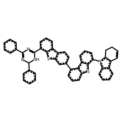 C1=Cc2c(n(-c3cccc4c3sc3cccc(-c5ccc6c(c5)sc5c(C7=NC(c8ccccc8)=NC(c8ccccc8)N7)cccc56)c34)c3ccccc23)CC1